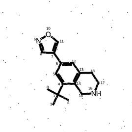 CC(C)(C)c1cc(-c2cnoc2)cc2c1CNCC2